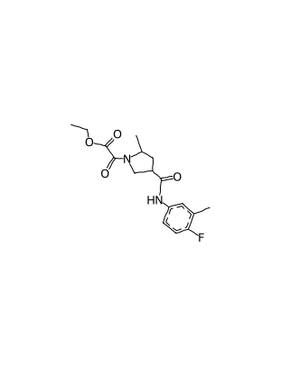 CCOC(=O)C(=O)N1CC(C(=O)Nc2ccc(F)c(C)c2)CC1C